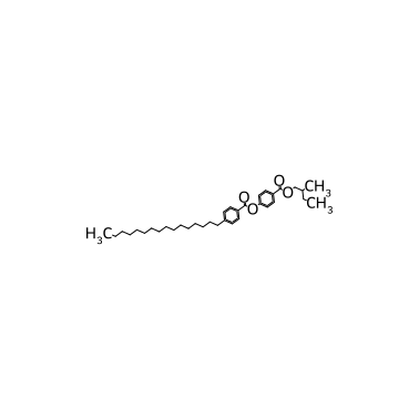 CCCCCCCCCCCCCCCCc1ccc(C(=O)Oc2ccc(C(=O)OCC(C)CC)cc2)cc1